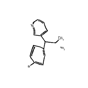 CCC(c1ccc(Br)cc1)c1cccnc1.N